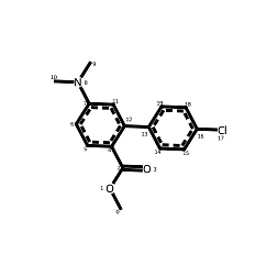 COC(=O)c1ccc(N(C)C)cc1-c1ccc(Cl)cc1